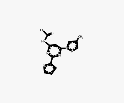 CCC(=O)Nc1cc(-n2cc(C)cn2)nc(-c2ccco2)n1